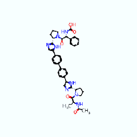 CC(=O)N[C@@H](C)C(=O)N1CCC[C@H]1c1ncc(-c2ccc(-c3ccc(-c4cnc([C@@H]5CCCN5C(=O)[C@H](NC(=O)O)c5ccccc5)[nH]4)cc3)cc2)[nH]1